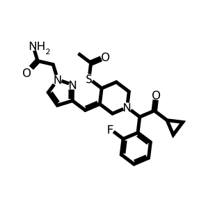 CC(=O)SC1CCN(C(C(=O)C2CC2)c2ccccc2F)CC1=Cc1ccn(CC(N)=O)n1